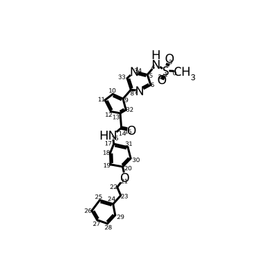 CS(=O)(=O)Nc1cnc(-c2cccc(C(=O)Nc3ccc(OCCc4ccccc4)cc3)c2)cn1